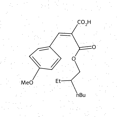 CCCCC(CC)COC(=O)C(=Cc1ccc(OC)cc1)C(=O)O